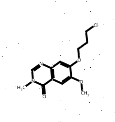 COc1cc2c(=O)n(C)cnc2cc1OCCCCl